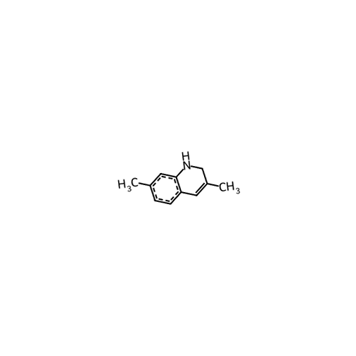 CC1=Cc2ccc(C)cc2NC1